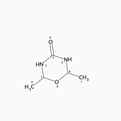 CC1NC(=O)NC(C)O1